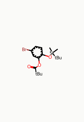 CC(C)(C)C(=O)Oc1cc(Br)ccc1O[Si](C)(C)C(C)(C)C